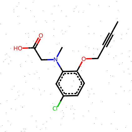 CC#CCOc1ccc(Cl)cc1N(C)CC(=O)O